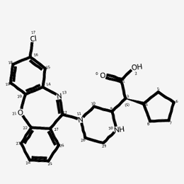 O=C(O)[C@@H](C1CCCC1)C1CN(C2=Nc3cc(Cl)ccc3Oc3ccccc32)CCN1